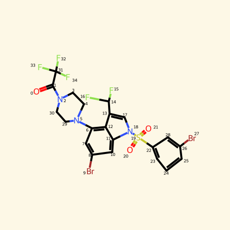 O=C(N1CCN(c2cc(Br)cc3c2c(C(F)F)cn3S(=O)(=O)c2cccc(Br)c2)CC1)C(F)(F)F